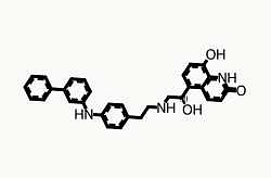 O=c1ccc2c([C@@H](O)CNCCc3ccc(Nc4cccc(-c5ccccc5)c4)cc3)ccc(O)c2[nH]1